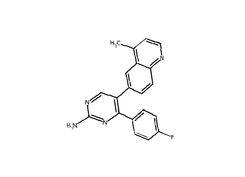 Cc1ccnc2ccc(-c3cnc(N)nc3-c3ccc(F)cc3)cc12